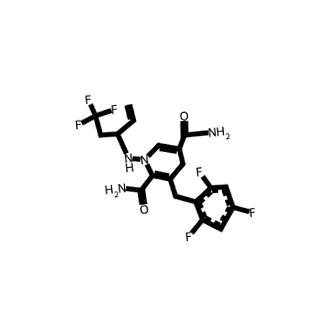 C=CC(CC(F)(F)F)NN1C=C(C(N)=O)CC(Cc2c(F)cc(F)cc2F)=C1C(N)=O